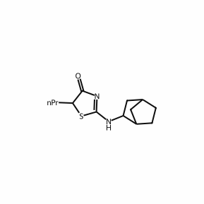 CCCC1SC(NC2CC3CCC2C3)=NC1=O